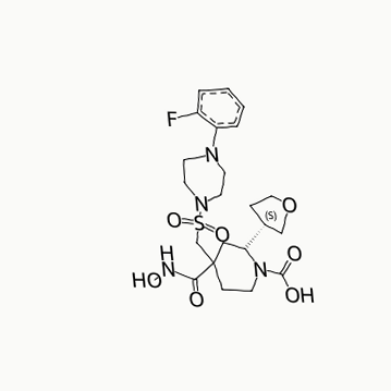 O=C(O)N1CCC(CS(=O)(=O)N2CCN(c3ccccc3F)CC2)(C(=O)NO)CC1[C@@H]1CCOC1